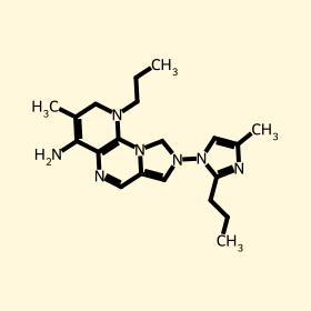 CCCc1nc(C)cn1N1C=C2C=NC3=C(N(CCC)CC(C)=C3N)N2C1